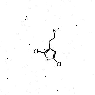 Clc1cc(CCBr)c(Cl)s1